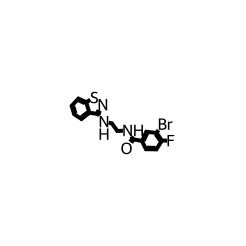 O=C(NCCNc1nsc2ccccc12)c1ccc(F)c(Br)c1